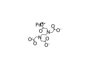 O=C([O-])CN(CCN(CC(=O)[O-])CC(=O)[O-])CC(=O)[O-].[Pd+4]